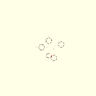 CC(C)(C)c1ccc2c(c1)-c1cc(C(C)(C)C)ccc1[CH]2[Zr+2]([C]1=CC=CC1)=[C](Cc1ccccc1)Cc1ccccc1.[Br-].[Br-]